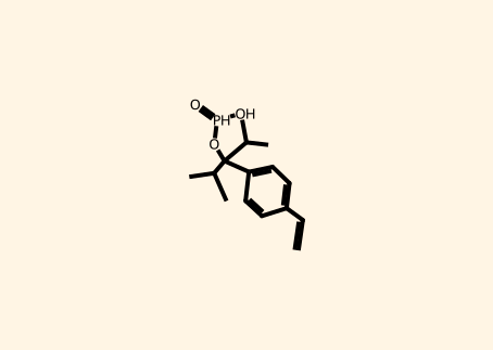 C=Cc1ccc(C(O[PH](=O)O)(C(C)C)C(C)C)cc1